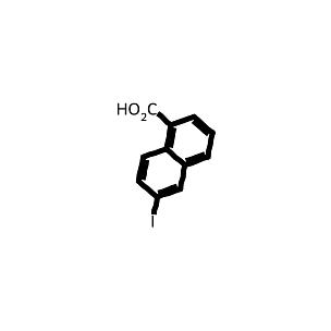 O=C(O)c1cccc2cc(I)ccc12